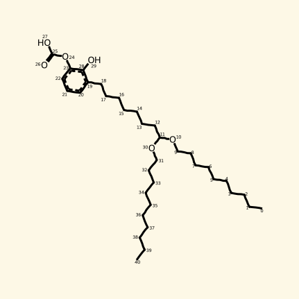 CCCCCCCCCCOC(CCCCCCCc1cccc(OC(=O)O)c1O)OCCCCCCCCCC